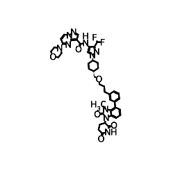 Cn1c(=O)n(C2CCC(=O)NC2=O)c2cccc(-c3cccc(CCCOC[C@H]4CC[C@H](n5cc(NC(=O)c6cnn7ccc(N8CCOCC8)nc67)c(C(F)F)n5)CC4)c3)c21